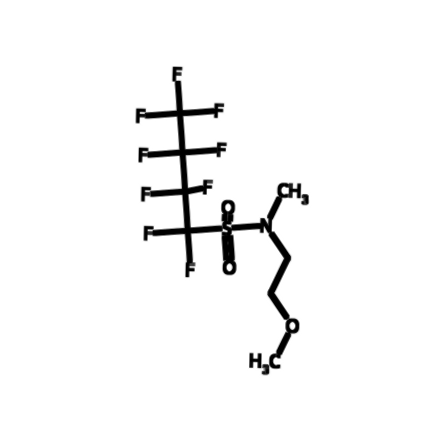 COCCN(C)S(=O)(=O)C(F)(F)C(F)(F)C(F)(F)C(F)(F)F